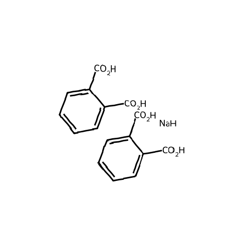 O=C(O)c1ccccc1C(=O)O.O=C(O)c1ccccc1C(=O)O.[NaH]